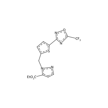 CCOC(=O)c1ccnn1Cc1ccc(-c2noc(C(F)(F)F)n2)s1